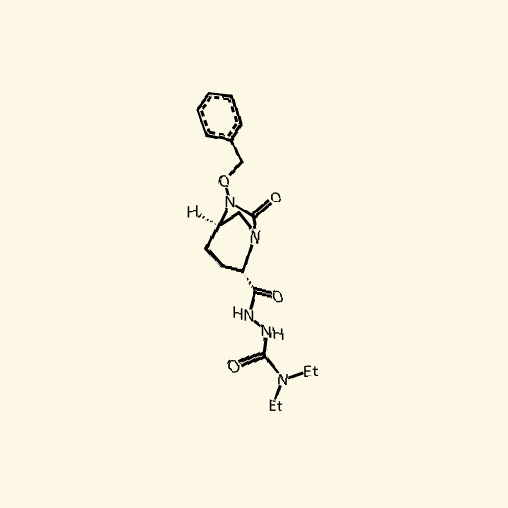 CCN(CC)C(=O)NNC(=O)[C@@H]1CC[C@@H]2CN1C(=O)N2OCc1ccccc1